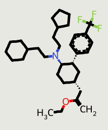 C=C(C[C@@H]1CC[C@@H](N(CCC2CCCCC2)CCC2CCCC2)[C@H](c2ccc(C(F)(F)F)cc2)C1)OCC